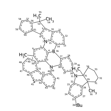 Cc1cc2c3c(c1)-n1c4c(c5cccc(c51)B3c1ccc(N3c5ccc(C(C)(C)C)cc5C5(C)CCCCC35C)cc1N2c1cccc2sc3ccccc3c12)C(C)(C)c1ccccc1-4